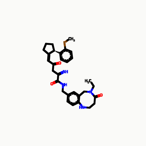 CCN1Cc2cc(CNC(=O)C(=N)CC(=O)/C=C3/CCC[C@@H]3c3ccccc3SC)ccc2NCCC1=O